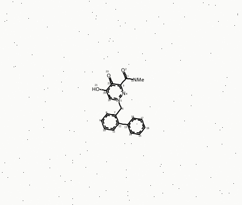 CNC(=O)c1nn(Cc2ccccc2-c2ccccc2)cc(O)c1=O